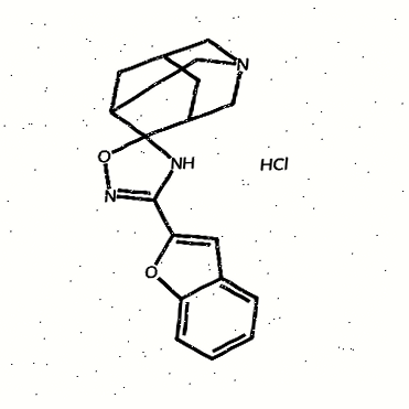 Cl.c1ccc2oc(C3=NOC4(N3)C3CC5CC4CN(C5)C3)cc2c1